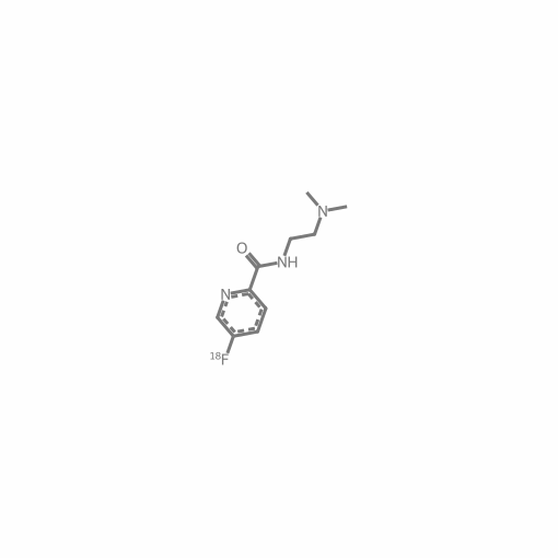 CN(C)CCNC(=O)c1ccc([18F])cn1